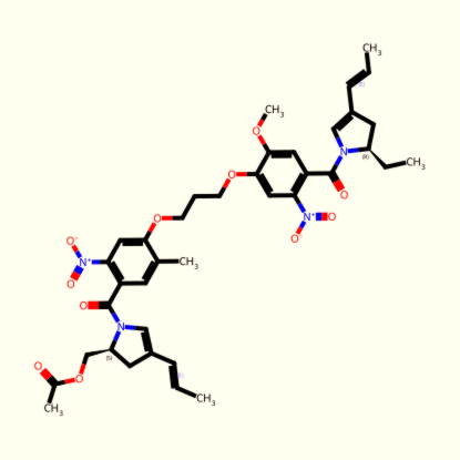 C/C=C/C1=CN(C(=O)c2cc(OC)c(OCCCOc3cc([N+](=O)[O-])c(C(=O)N4C=C(/C=C/C)C[C@H]4COC(C)=O)cc3C)cc2[N+](=O)[O-])[C@H](CC)C1